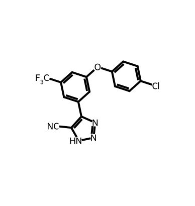 N#Cc1[nH]nnc1-c1cc(Oc2ccc(Cl)cc2)cc(C(F)(F)F)c1